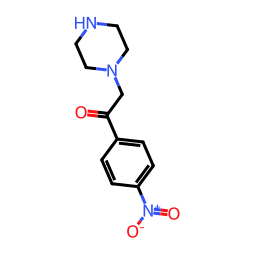 O=C(CN1CCNCC1)c1ccc([N+](=O)[O-])cc1